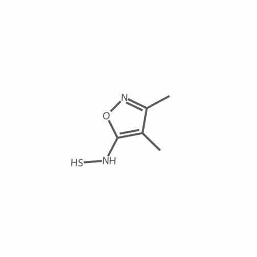 Cc1noc(NS)c1C